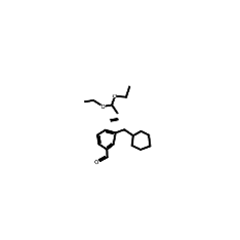 C=C.CCOC(C)OCC.O=Cc1cccc(CC2CCCCC2)c1